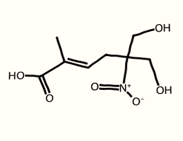 C/C(=C\CC(CO)(CO)[N+](=O)[O-])C(=O)O